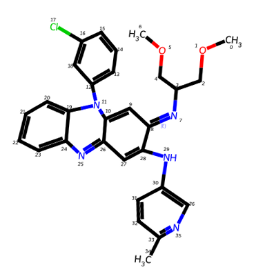 COCC(COC)/N=c1\cc2n(-c3cccc(Cl)c3)c3ccccc3nc-2cc1Nc1ccc(C)nc1